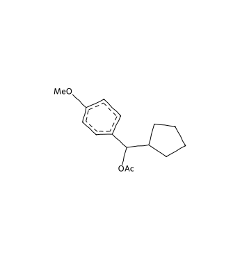 COc1ccc(C(OC(C)=O)C2CCCC2)cc1